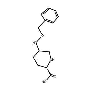 O=C(O)[C@H]1CCC(NOCc2ccccc2)CN1